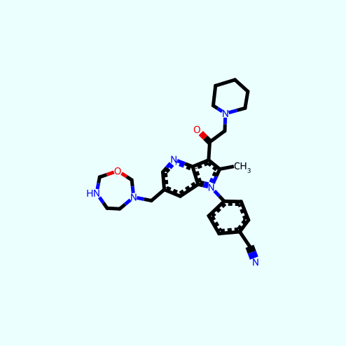 Cc1c(C(=O)CN2CCCCC2)c2ncc(CN3CCNCOC3)cc2n1-c1ccc(C#N)cc1